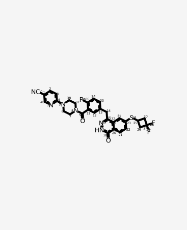 N#Cc1ccc(N2CCN(C(=O)c3cc(Cc4n[nH]c(=O)c5ccc(SC6CC(F)(F)C6)cc45)ccc3F)CC2)nc1